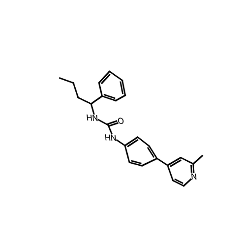 CCCC(NC(=O)Nc1ccc(-c2ccnc(C)c2)cc1)c1ccccc1